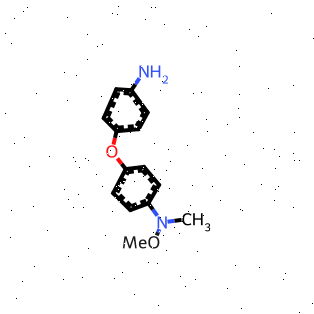 CON(C)c1ccc(Oc2ccc(N)cc2)cc1